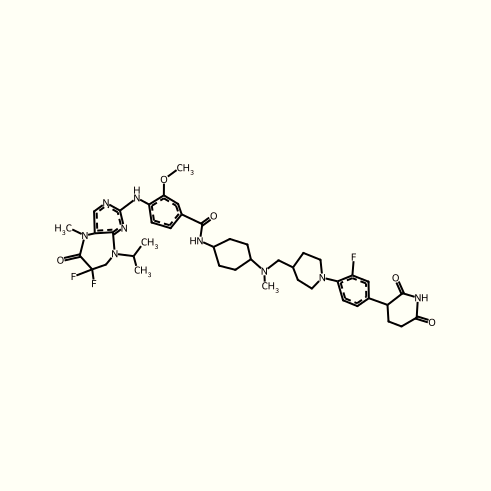 COc1cc(C(=O)NC2CCC(N(C)CC3CCN(c4ccc(C5CCC(=O)NC5=O)cc4F)CC3)CC2)ccc1Nc1ncc2c(n1)N(C(C)C)CC(F)(F)C(=O)N2C